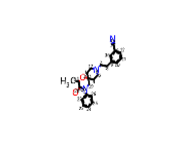 CC1OC2(CCN(CCc3cccc(C#N)c3)CC2)CN(c2ccccc2)C1=O